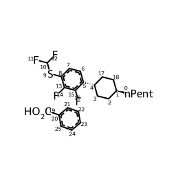 CCCCC[C@H]1CC[C@H](c2ccc(SC(F)F)c(F)c2F)CC1.O=C(O)c1ccccc1